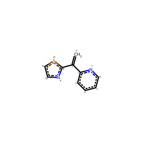 C=C(c1ccccn1)c1nccs1